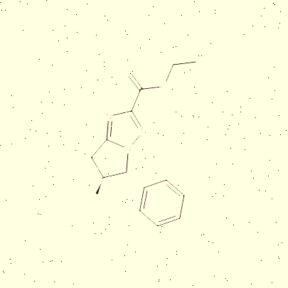 CCOC(=O)c1nc2n(n1)[C@H](c1ccccc1)[C@@H](F)C2